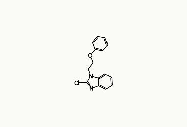 Clc1nc2ccccc2n1CCOc1ccccc1